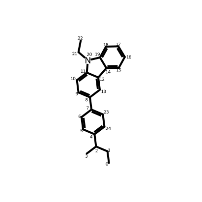 CCC(C)c1ccc(-c2ccc3c(c2)c2ccccc2n3CC)cc1